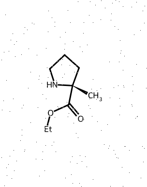 CCOC(=O)[C@@]1(C)CCCN1